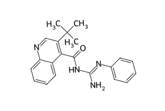 CC(C)(C)c1cnc2ccccc2c1C(=O)NC(N)=Nc1ccccc1